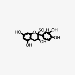 O=S(=O)(O)C1(c2ccc(O)c(O)c2)Oc2cc(O)cc(O)c2CC1O